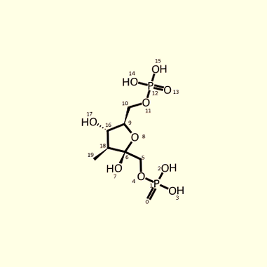 C=P(O)(O)OC[C@@]1(O)O[C@H](COP(=O)(O)O)[C@@H](O)[C@@H]1C